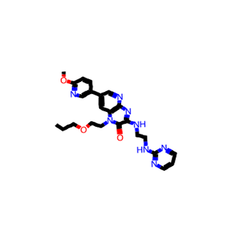 CCCOCCn1c(=O)c(NCCNc2ncccn2)nc2ncc(-c3ccc(OC)nc3)cc21